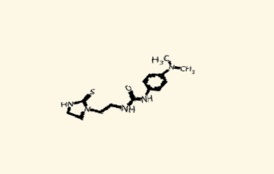 CN(C)c1ccc(NC(=O)NCCN2CCNC2=S)cc1